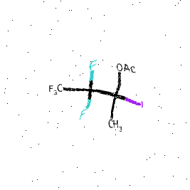 CC(=O)OC(C)(I)C(F)(F)C(F)(F)F